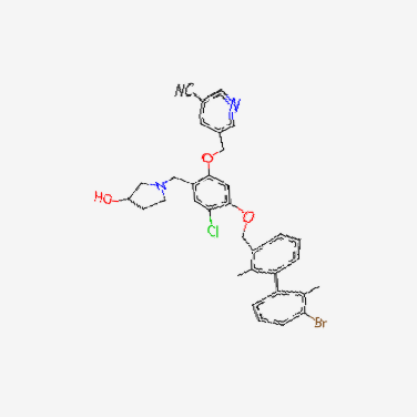 Cc1c(Br)cccc1-c1cccc(COc2cc(OCc3cncc(C#N)c3)c(CN3CCC(O)C3)cc2Cl)c1C